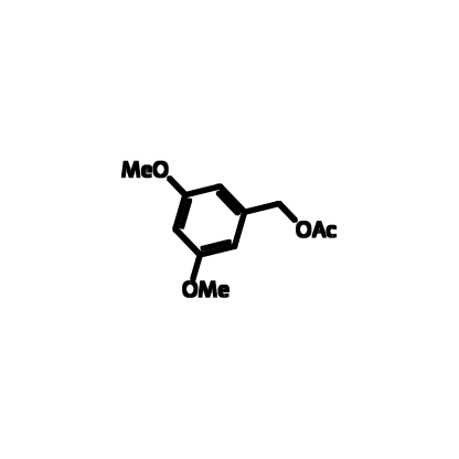 COc1cc(COC(C)=O)cc(OC)c1